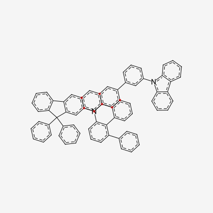 c1ccc(-c2ccccc2-c2c(-c3ccccc3)cccc2N(c2ccc(-c3cccc(-n4c5ccccc5c5ccccc54)c3)cc2)c2ccc3c(c2)C(c2ccccc2)(c2ccccc2)c2ccccc2-3)cc1